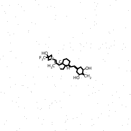 C=C1[C@H](O)CC(=C/C=C2\CCC[C@]3(C)[C@@H]([C@H](C)CN4CC(O)(C(F)(F)F)C4)CC[C@@H]23)C[C@H]1O